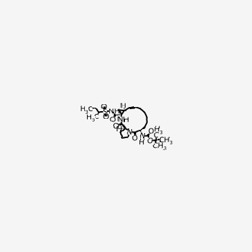 CCC(C)S(=O)(=O)NC(=O)[C@@]12C[C@H]1/C=C\CCCCC[C@H](NC(=O)OC(C)(C)C)C(=O)N1CCC[C@H]1C(=O)N2